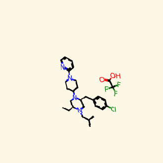 CC[C@H]1CN(C2CCN(c3ccccn3)CC2)[C@@H](Cc2ccc(Cl)cc2)CN1CC(C)C.O=C(O)C(F)(F)F